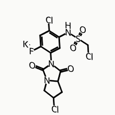 O=C1C2CC(Cl)CN2C(=O)N1c1cc(NS(=O)(=O)CCl)c(Cl)cc1F.[K]